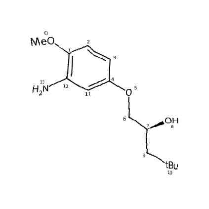 COc1ccc(OC[C@@H](O)CC(C)(C)C)cc1N